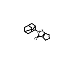 O=c1c2c(sn1C1C3CC4CC(C3)CC1C4)CCC2